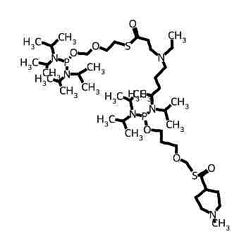 CCN(CCCC(C)N(C(C)C)P(OCCCOCSC(=O)C1CCN(C)CC1)N(C(C)C)C(C)C)CCC(=O)SCCOCOP(N(C(C)C)C(C)C)N(C(C)C)C(C)C